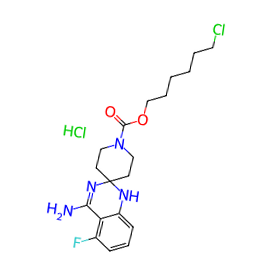 Cl.NC1=NC2(CCN(C(=O)OCCCCCCCl)CC2)Nc2cccc(F)c21